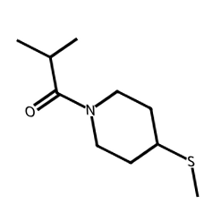 CSC1CCN(C(=O)C(C)C)CC1